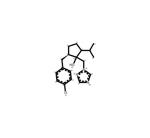 CC(C)C1CC[C@H](Cc2ccc(Cl)cc2)C1(O)Cn1cncn1